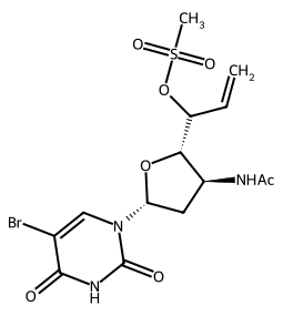 C=CC(OS(C)(=O)=O)[C@H]1O[C@@H](n2cc(Br)c(=O)[nH]c2=O)C[C@@H]1NC(C)=O